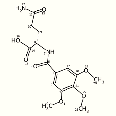 COc1cc(C(=O)N[C@@H](CCC(N)=O)C(=O)O)cc(OC)c1OC